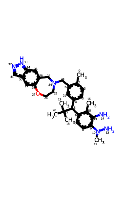 Cc1ccc(C(c2ccc(N(C)N)c(N)c2C)C(C)(C)C)cc1CN1CCOc2cc3cn[nH]c3cc2C1